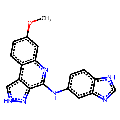 COc1ccc2c(c1)nc(Nc1ccc3[nH]cnc3c1)c1n[nH]cc12